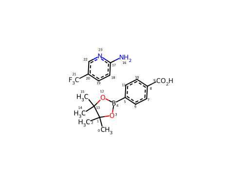 CC1(C)OB(c2ccc(C(=O)O)cc2)OC1(C)C.Nc1ccc(C(F)(F)F)cn1